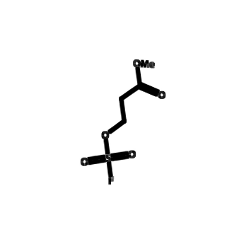 COC(=O)CCOS(=O)(=O)F